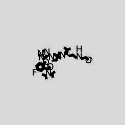 COCCNCCC[C@H](C(C)C)N1CC2(CCN(c3ncnnc3Oc3ccc(F)cc3C(=O)N(C(C)C)C(C)C)C2)C1